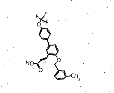 Cc1cccc(COc2ccc(-c3ccc(OC(F)(F)F)cc3)cc2/C=C/C(=O)O)c1